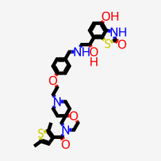 Cc1cc(C(=O)N2CCOC3(CCN(CCOc4ccc(CNCC(O)c5ccc(O)c6[nH]c(=O)sc56)cc4)CC3)C2)c(C)s1